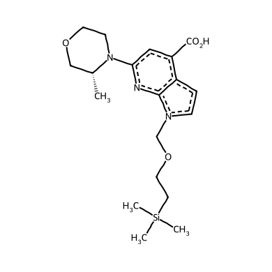 C[C@@H]1COCCN1c1cc(C(=O)O)c2ccn(COCC[Si](C)(C)C)c2n1